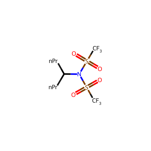 CCCC(CCC)N(S(=O)(=O)C(F)(F)F)S(=O)(=O)C(F)(F)F